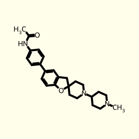 CC(=O)Nc1ccc(-c2ccc3c(c2)CC2(CCN(C4CCN(C)CC4)CC2)O3)cc1